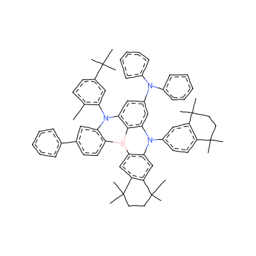 Cc1ccc(C(C)(C)C)cc1N1c2cc(-c3ccccc3)ccc2B2c3cc4c(cc3N(c3ccc5c(c3)C(C)(C)CCC5(C)C)c3cc(N(c5ccccc5)c5ccccc5)cc1c32)C(C)(C)CCC4(C)C